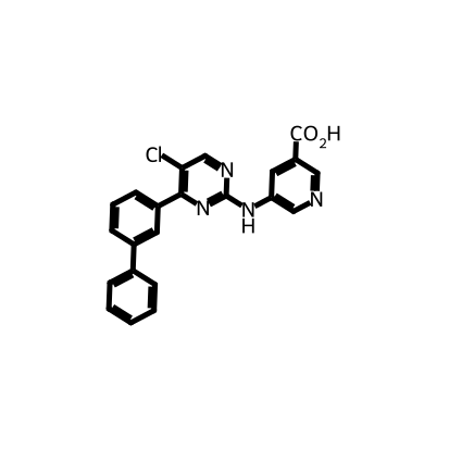 O=C(O)c1cncc(Nc2ncc(Cl)c(-c3cccc(-c4ccccc4)c3)n2)c1